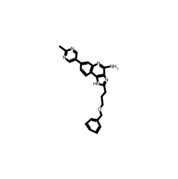 Cc1ncc(-c2ccc3c(c2)nc(N)c2nc(CCCOCc4ccccc4)[nH]c23)cn1